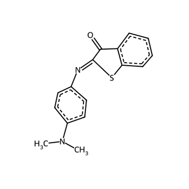 CN(C)c1ccc(N=C2Sc3ccccc3C2=O)cc1